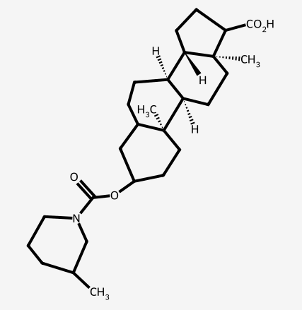 CC1CCCN(C(=O)OC2CC[C@@]3(C)C(CC[C@@H]4[C@H]3CC[C@]3(C)C(C(=O)O)CC[C@@H]43)C2)C1